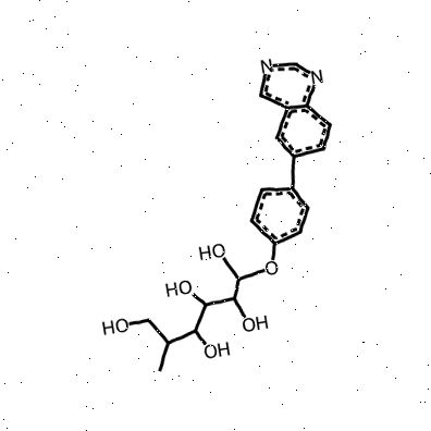 CC(CO)C(O)C(O)C(O)C(O)Oc1ccc(-c2ccc3ncncc3c2)cc1